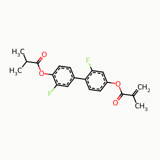 C=C(C)C(=O)Oc1ccc(-c2ccc(OC(=O)C(C)C)c(F)c2)c(F)c1